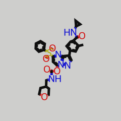 Cc1cc(-c2cnn3c(OC(=O)NCC4CCOCC4)cc(S(=O)(=O)c4ccccc4)nc23)ccc1C(=O)NC1CC1